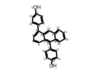 Oc1ccc(-c2cccc3c(-c4ccc(O)cc4)c4ccccc4cc23)cc1